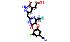 N#Cc1cc(Cl)cc(Oc2c(C(F)(F)F)nc(Cc3cc(CCO)c(=O)[nH]n3)[nH]c2=O)c1